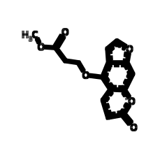 COC(=O)CCOc1c2ccoc2cc2oc(=O)ccc12